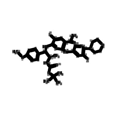 COc1ccc([C@@H](Nc2nc(Nc3cnc(N4CCOCC4)c(F)c3)c(C(N)=O)cc2F)[C@H](C)NC(=O)OC(C)(C)C)cc1